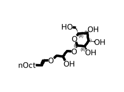 CCCCCCCCC=COCC(O)CO[C@@H]1O[C@H](CO)[C@H](O)[C@H](O)[C@H]1O